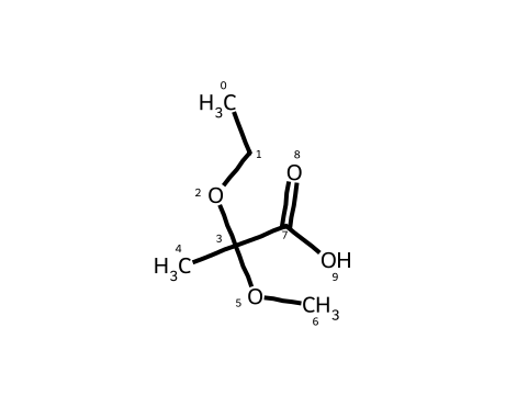 CCOC(C)(OC)C(=O)O